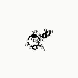 CCC1NC(=O)[C@H](Nc2ccc3cc[nH]c(=O)c3c2)c2cc(OC)c(c(OC)c2)CCOC(=O)Nc2cccc1c2